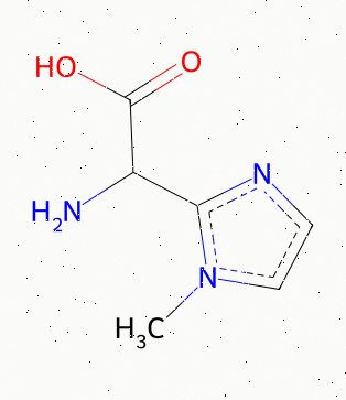 Cn1ccnc1C(N)C(=O)O